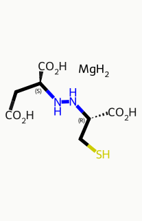 O=C(O)C[C@H](NN[C@@H](CS)C(=O)O)C(=O)O.[MgH2]